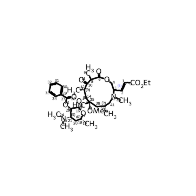 CCOC(=O)/C=C/C1COC(=O)C(C)C(=O)[C@H](C)[C@@H](O[C@@H]2O[C@H](C)C[C@H](N(C)C)[C@H]2OC(=O)c2ccccc2)[C@](C)(OC)C[C@@H](C)CN1C